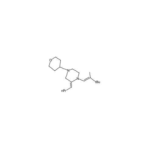 CCC/C=C1\CN(C2CCOCC2)CCN1/C=C(\C)C(C)(C)C